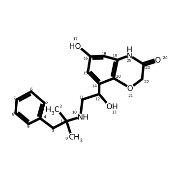 CC(C)(Cc1ccccc1)NCC(O)c1cc(O)cc2c1OCC(=O)N2